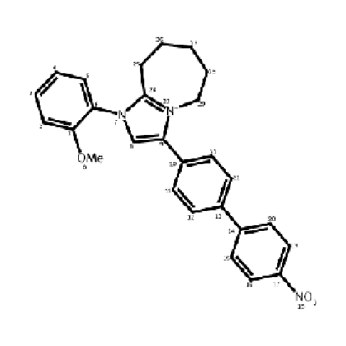 COc1ccccc1-n1cc(-c2ccc(-c3ccc([N+](=O)[O-])cc3)cc2)[n+]2c1CCCCC2